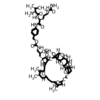 C=C1C[C@@H]2CC[C@@]34C[C@H]5O[C@H]6[C@@H](O3)[C@H]3O[C@H](CC[C@@H]3O[C@H]6[C@H]5O4)CC(=O)C[C@@H]3[C@@H](OC)[C@@H](C[C@H](O)CNC(=O)OCc4ccc(NC(=O)[C@H](CCCNC(N)=O)NC(=O)[C@@H](N)C(C)C)cc4)O[C@H]3C[C@H]3O[C@@H](CC[C@@H]1O2)C[C@@H](C)C3=C